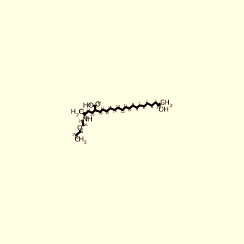 C=C(O)CCCCCCCCCCCCCCCCC(CCC(=C)NCCOCCC)C(=O)O